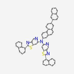 c1ccc2cc(-c3ccc4c(ccc5cc(N(c6cc7sc(-c8cccc9ccccc89)nc7cn6)c6cc7sc(-c8cccc9ccccc89)nc7cn6)ccc54)c3)ccc2c1